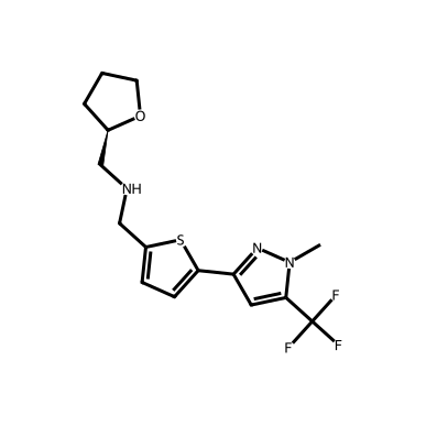 Cn1nc(-c2ccc(CNC[C@H]3CCCO3)s2)cc1C(F)(F)F